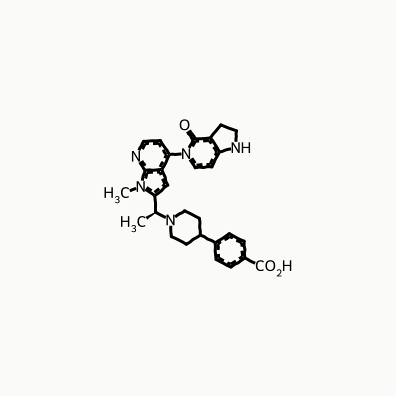 C[C@@H](c1cc2c(-n3ccc4c(c3=O)CCN4)ccnc2n1C)N1CCC(c2ccc(C(=O)O)cc2)CC1